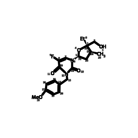 CC[C@@]1(CO)O[C@@H](n2cc(F)c(=O)n(Cc3ccc(OC)cc3)c2=O)C[C@@H]1C